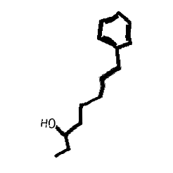 CCC(O)CCCCCc1ccccc1